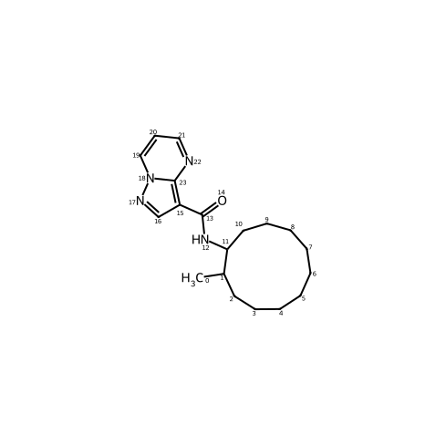 CC1CCCCCCCCCC1NC(=O)c1cnn2cccnc12